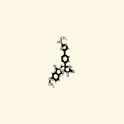 CNc1nc(-c2ccc([C@]3(CN4Cc5ccc(OC)cc5C4=O)NC(=O)NC3=O)cc2)cs1